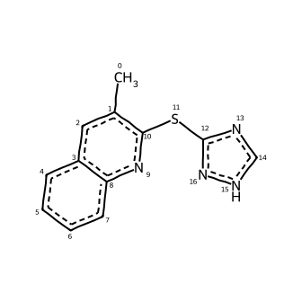 Cc1cc2ccccc2nc1Sc1nc[nH]n1